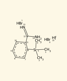 Br.Br.C[Si](C)(C)c1ccccc1C(=N)N.[Hf]